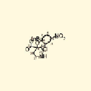 CCCCOC(=O)C1(Oc2ccc([N+](=O)[O-])cc2Cl)CCNCC1